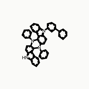 c1ccc(-c2cccc(-n3c4ccccc4c4c5c(ccc43)N(c3ccccc3)c3c(ccc4[nH]c6ccccc6c34)N5c3ccccc3)c2)cc1